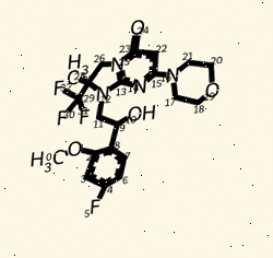 COc1cc(F)ccc1C(O)CN1c2nc(N3CCOCC3)cc(=O)n2CC1(C)C(F)(F)F